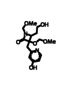 COCOC1(Cc2cc(O)ccn2)C(=O)N(COC)C1CCO